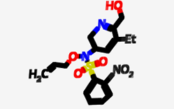 C=CCON(C1C=C(CC)C(CO)=NC1)S(=O)(=O)c1ccccc1[N+](=O)[O-]